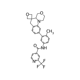 Cc1ccc(NC(=O)c2ccnc(C(F)(F)F)c2)cc1-c1ccc2c(c1)N1CCOCC1C1(COC1)C2